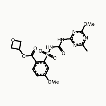 COc1ccc(C(=O)OC2COC2)c(S(=O)(=O)NC(=O)Nc2nc(C)nc(OC)n2)c1